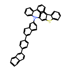 c1ccc(-c2ccccc2N(c2ccc3cc(-c4ccc(-c5ccc6ccccc6c5)cc4)ccc3c2)c2ccc3c(c2)sc2ccccc23)cc1